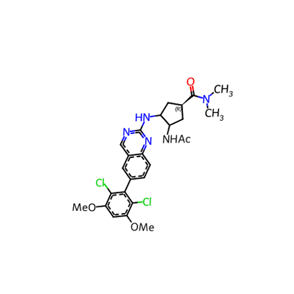 COc1cc(OC)c(Cl)c(-c2ccc3nc(NC4C[C@@H](C(=O)N(C)C)CC4NC(C)=O)ncc3c2)c1Cl